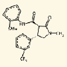 CSc1ccccc1NC(=O)[C@H]1C(=O)N(C)C[C@@H]1c1cccc(C(F)(F)F)c1